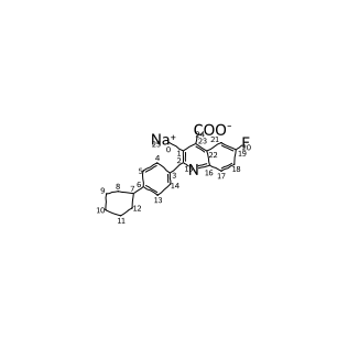 Cc1c(-c2ccc(C3CCCCC3)cc2)nc2ccc(F)cc2c1C(=O)[O-].[Na+]